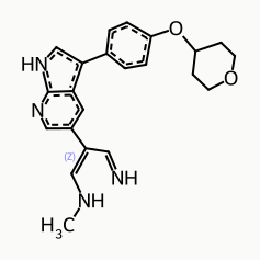 CN/C=C(\C=N)c1cnc2[nH]cc(-c3ccc(OC4CCOCC4)cc3)c2c1